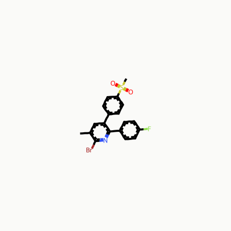 Cc1cc(-c2ccc(S(C)(=O)=O)cc2)c(-c2ccc(F)cc2)nc1Br